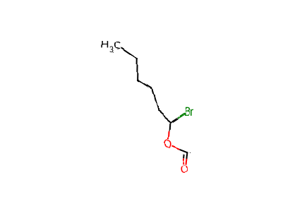 CCCCCC(Br)O[C]=O